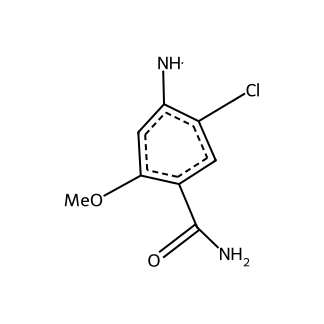 COc1cc([NH])c(Cl)cc1C(N)=O